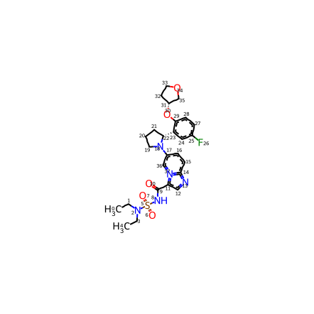 CCN(CC)S(=O)(=O)NC(=O)c1cnc2ccc(N3CCC[C@@H]3c3cc(F)ccc3O[C@@H]3CCOC3)cn12